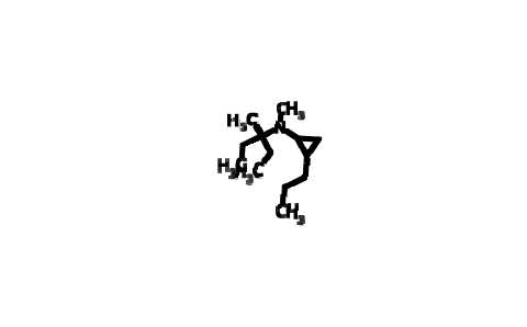 CCCC1CC1N(C)C(C)(CC)CC